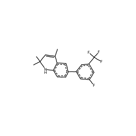 CC1=CC(C)(C)Nc2ccc(-c3cc(F)cc(C(F)(F)F)c3)cc21